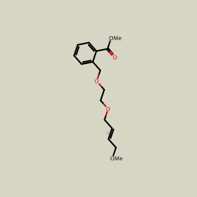 COC/C=C/COCCOCc1ccccc1C(=O)OC